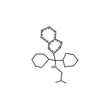 CC(C)CNC(c1ccc2ccccc2c1)(C1CCCCC1)C1CCCCC1